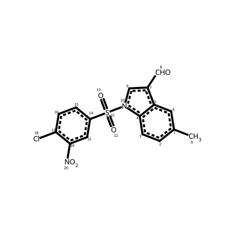 Cc1ccc2c(c1)c(C=O)cn2S(=O)(=O)c1ccc(Cl)c([N+](=O)[O-])c1